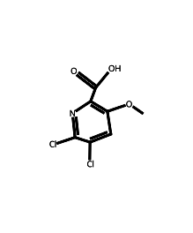 COc1cc(Cl)c(Cl)nc1C(=O)O